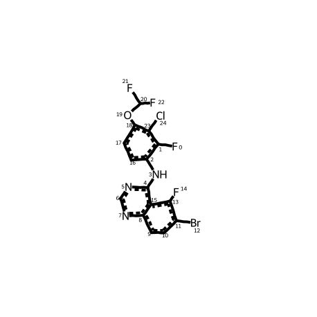 Fc1c(Nc2ncnc3ccc(Br)c(F)c23)ccc(OC(F)F)c1Cl